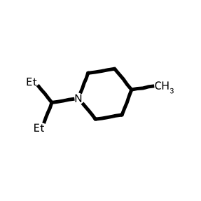 CCC(CC)N1CCC(C)CC1